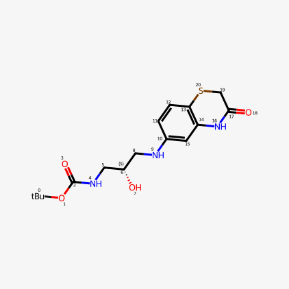 CC(C)(C)OC(=O)NC[C@@H](O)CNc1ccc2c(c1)NC(=O)CS2